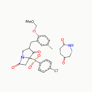 COCOc1ccc(C)cc1CC1CN2C(=O)CC2(S(=O)(=O)c2ccc(Cl)cc2)C1=O.O=C1CCNC(=O)CC1